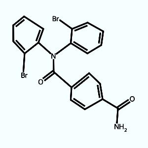 NC(=O)c1ccc(C(=O)N(c2ccccc2Br)c2ccccc2Br)cc1